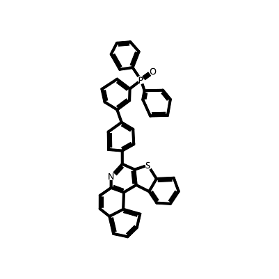 O=P(c1ccccc1)(c1ccccc1)c1cccc(-c2ccc(-c3nc4ccc5ccccc5c4c4c3sc3ccccc34)cc2)c1